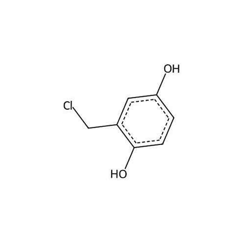 Oc1ccc(O)c(CCl)c1